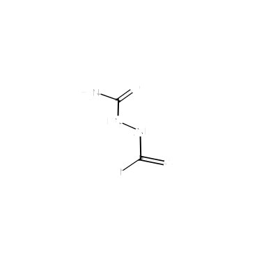 NC(=O)NNC(=O)I